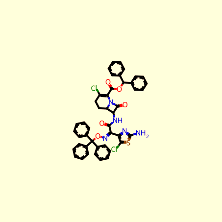 Nc1nc(/C(=N/OC(c2ccccc2)(c2ccccc2)c2ccccc2)C(=O)NC2C(=O)N3C(C(=O)OC(c4ccccc4)c4ccccc4)=C(Cl)CCC23)c(Cl)s1